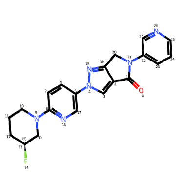 O=C1c2cn(-c3ccc(N4CCC[C@H](F)C4)nc3)nc2CN1c1cccnc1